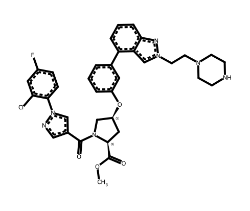 COC(=O)[C@@H]1C[C@H](Oc2cccc(-c3cccc4nn(CCN5CCNCC5)cc34)c2)CN1C(=O)c1cnn(-c2ccc(F)cc2Cl)c1